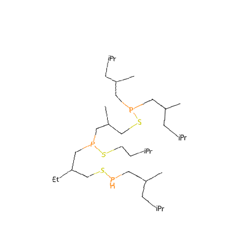 CCC(CSPCC(C)CC(C)C)CP(CC(C)CSP(CC(C)CC(C)C)CC(C)CC(C)C)SCCC(C)C